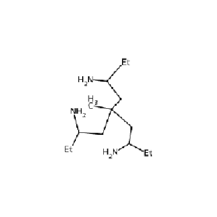 CCC(N)CC(C)(CC(N)CC)CC(N)CC